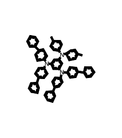 Cc1ccc(N(c2ccc(C)cc2)c2cc(N(c3ccc(-c4ccccc4)cc3)c3ccc(-c4ccccc4)cc3)cc(N(c3ccc(-c4ccccc4)cc3)c3ccc(-c4ccccc4)cc3)c2)cc1